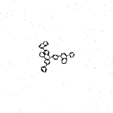 c1ccc(-c2ccc(N(c3ccc(-c4cccc5ccccc45)cc3)c3ccc(-c4ccc(-c5ccccc5)c5ccccc45)cc3)c(-c3ccccc3)c2)cc1